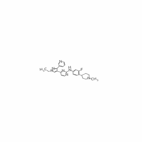 CCn1cc(-c2ccnc(Nc3ccc(C4CCN(C)CC4)c(F)c3)n2)c(-c2cccnc2)n1